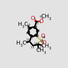 COC(=O)c1cc2c(cc1C)C(C)CC(C)(C)S2(=O)=O